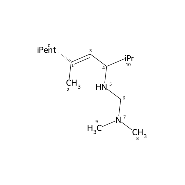 CCC[C@@H](C)C(C)=CC(NCN(C)C)C(C)C